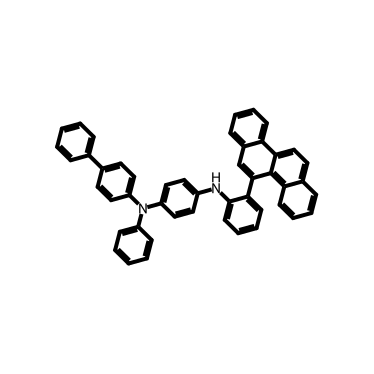 c1ccc(-c2ccc(N(c3ccccc3)c3ccc(Nc4ccccc4-c4cc5ccccc5c5ccc6ccccc6c45)cc3)cc2)cc1